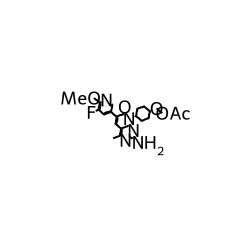 COc1ncc(-c2cc3c(C)nc(N)nc3n([C@H]3CC[C@H](OOC(C)=O)CC3)c2=O)cc1F